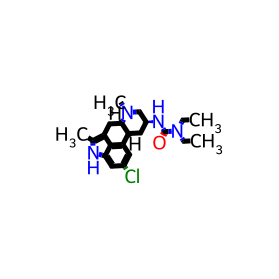 CCN(CC)C(=O)N[C@H]1C[C@@H]2c3cc(Cl)cc4[nH]c(C)c(c34)C[C@H]2N(C)C1